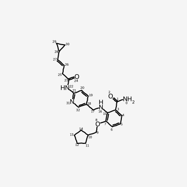 NC(=O)c1cccc(OCC2CCCC2)c1NCc1ccc(NC(=O)CC=CC2CC2)nc1